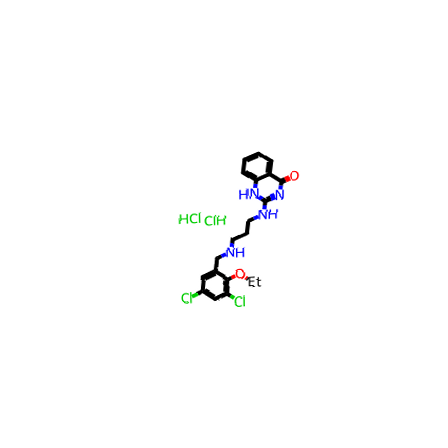 CCOc1c(Cl)cc(Cl)cc1CNCCCNc1nc(=O)c2ccccc2[nH]1.Cl.Cl